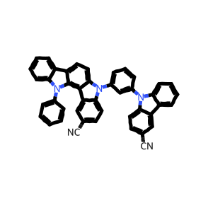 N#Cc1ccc2c(c1)c1ccccc1n2-c1cccc(-n2c3ccc(C#N)cc3c3c2ccc2c4ccccc4n(-c4ccccc4)c23)c1